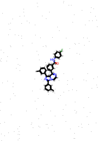 Cc1cccc(-c2nc(-c3cccc(C)c3)n3ccnc(-c4cccc(C(=O)Nc5ccc(F)cc5)c4)c23)c1